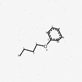 CCCCOc1[c]ccc[c]1